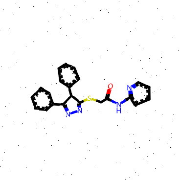 O=C(CSC1=NN=C(c2ccccc2)C1c1ccccc1)Nc1ccccn1